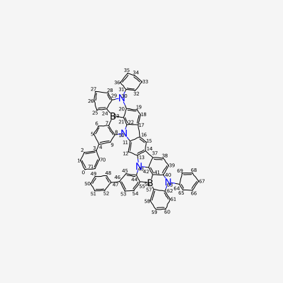 c1ccc(-c2ccc3c(c2)-n2c4cc5c(cc4c4ccc6c(c42)B3c2ccccc2N6c2ccccc2)c2ccc3c4c2n5-c2cc(-c5ccccc5)ccc2B4c2ccccc2N3c2ccccc2)cc1